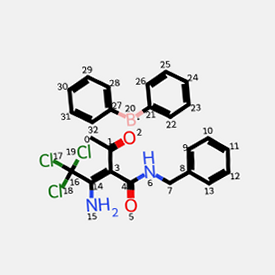 CC(=O)/C(C(=O)NCc1ccccc1)=C(/N)C(Cl)(Cl)Cl.[B](c1ccccc1)c1ccccc1